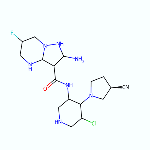 N#C[C@@H]1CCN(C2C(Cl)CNCC2NC(=O)C2C(N)NN3CC(F)CNC23)C1